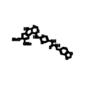 COc1cc2c(cc1OC)C1C(Nc3ncc(NC(=S)NCc4ccc5c(c4)OCO5)cn3)=NC=NC1N2